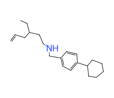 C=CCC(CC)CCNCc1ccc(C2CCCCC2)cc1